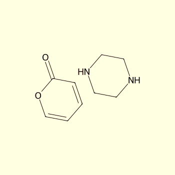 C1CNCCN1.O=c1cccco1